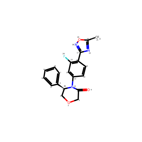 O=C1COC[C@@H](c2ccccc2)N1c1ccc(-c2noc(C(F)(F)F)n2)c(F)c1